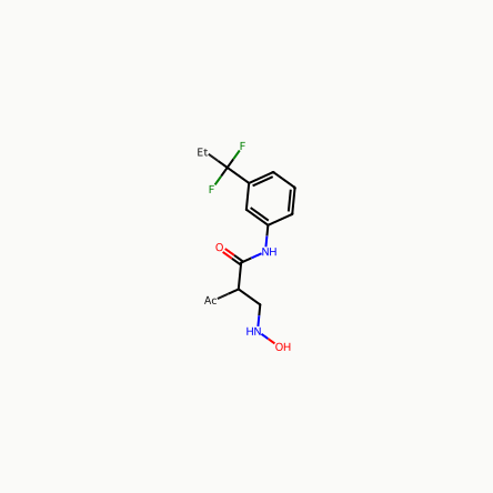 CCC(F)(F)c1cccc(NC(=O)C(CNO)C(C)=O)c1